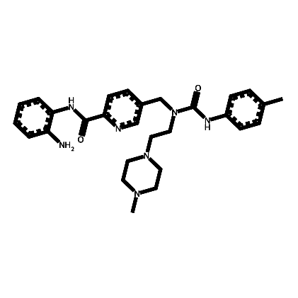 Cc1ccc(NC(=O)N(CCN2CCN(C)CC2)Cc2ccc(C(=O)Nc3ccccc3N)nc2)cc1